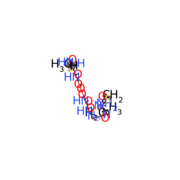 C=C(C(=O)c1ccc(/C(C)=C2/C(CC(=C)[C@@H]3CCCN3C(=O)/C=C/C/C=C3/CCCN(CCNC(=O)CCCC(=O)NCCCOCCOCCOCCCNC(=O)CCCC[C@@H]4SC[C@]5(C)NC(=O)N[C@H]45)CC3)=CC=CN=C2N)cc1)c1cccs1